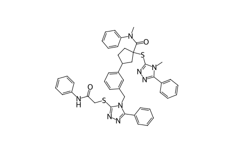 CN(C(=O)C1(Sc2nnc(-c3ccccc3)n2C)CCC(c2cccc(Cn3c(SCC(=O)Nc4ccccc4)nnc3-c3ccccc3)c2)C1)c1ccccc1